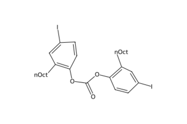 CCCCCCCCc1cc(I)ccc1OC(=O)Oc1ccc(I)cc1CCCCCCCC